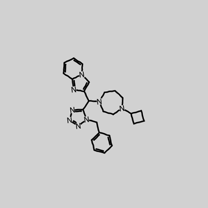 c1ccc(Cn2nnnc2C(c2cn3ccccc3n2)N2CCCN(C3CCC3)CC2)cc1